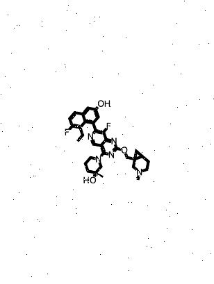 CCc1c(F)ccc2cc(O)cc(-c3ncc4c(N5CCC[C@@](C)(O)C5)nc(OCC56CC5CCN(C)C6)nc4c3F)c12